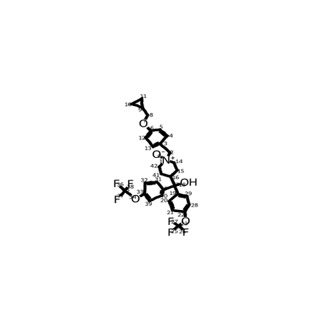 [O-][N+]1(Cc2ccc(OCC3CC3)cc2)CCC(C(O)(c2ccc(OC(F)(F)F)cc2)c2ccc(OC(F)(F)F)cc2)CC1